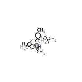 C=C1CC[C@H]2[C@H](/C=N\OC)[C@@H]([C@@]3(C)CC[C@H](C)C[C@@H]3COC(C)=O)CC[C@]12C